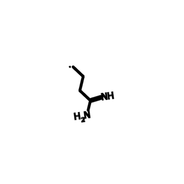 [CH2]CCC(=N)N